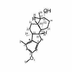 COc1cc(C)c2c(c1)C[C@H]1[C@]3(C)CC[C@@H](O)C(C)(C)[C@H]3CC[C@]21C